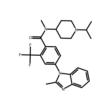 Cc1nc2ccccc2n1-c1ccc(C(=O)N(C)C2CCN(C(C)C)CC2)c(C(F)(F)F)c1